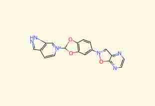 c1cnc2o[n+](-c3ccc4c(c3)OC([n+]3ccc5cn[nH]c5c3)O4)cc2n1